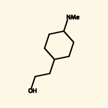 CNC1CCC(CCO)CC1